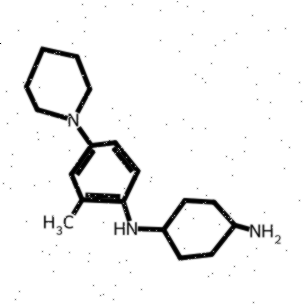 Cc1cc(N2CCCCC2)ccc1NC1CCC(N)CC1